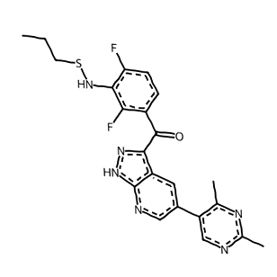 CCCSNc1c(F)ccc(C(=O)c2n[nH]c3ncc(-c4cnc(C)nc4C)cc23)c1F